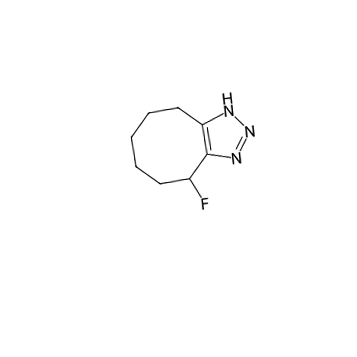 FC1CCCCCc2[nH]nnc21